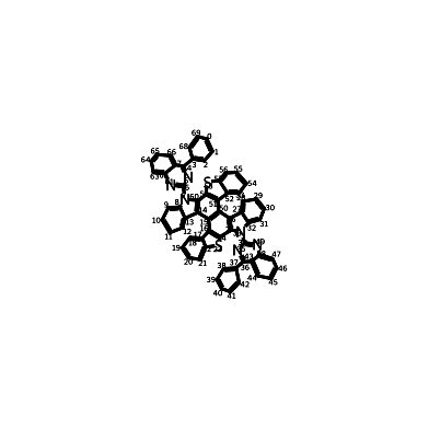 c1ccc(-c2nc(-n3c4ccccc4c4c5c6c7ccccc7sc6c6c(c7ccccc7n6-c6nc(-c7ccccc7)c7ccccc7n6)c5c5c6ccccc6sc5c43)nc3ccccc23)cc1